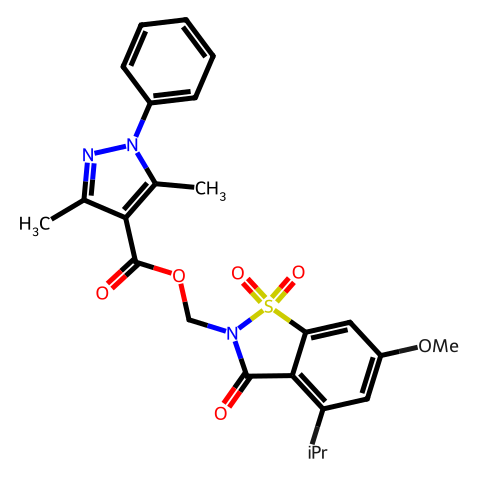 COc1cc(C(C)C)c2c(c1)S(=O)(=O)N(COC(=O)c1c(C)nn(-c3ccccc3)c1C)C2=O